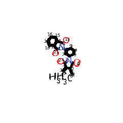 C/C=C1/C(=O)N(c2cccc(N3C(=O)c4ccccc4C3=O)c2)C(=O)/C1=C/C